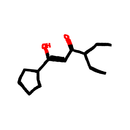 CCC(CC)C(=O)/C=C(\O)C1CCCC1